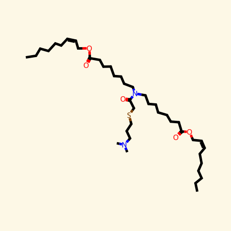 CCCCCC/C=C\COC(=O)CCCCCCCN(CCCCCCCC(=O)OC/C=C\CCCCCC)C(=O)CSCCCN(C)C